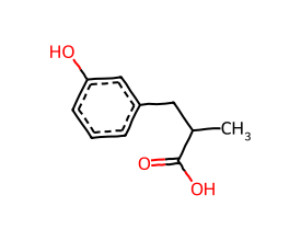 CC(Cc1cccc(O)c1)C(=O)O